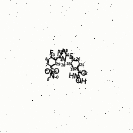 CN(C)S(=O)(=O)c1ccc(F)c(-c2nnc(Sc3ccc(C(=O)NO)cc3)n2C)c1